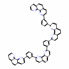 c1cc(-c2ccc3ccc4cccnc4c3n2)cc(-c2ccc3ccc4ccc(-c5cccc(-c6ccc7ccc8ccc(-c9cccc(-c%10ccc%11ccc%12cccnc%12c%11n%10)c9)nc8c7n6)c5)nc4c3n2)c1